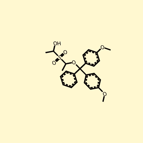 COc1ccc(C(OC(C)S(=O)(=O)C(C)O)(c2ccccc2)c2ccc(OC)cc2)cc1